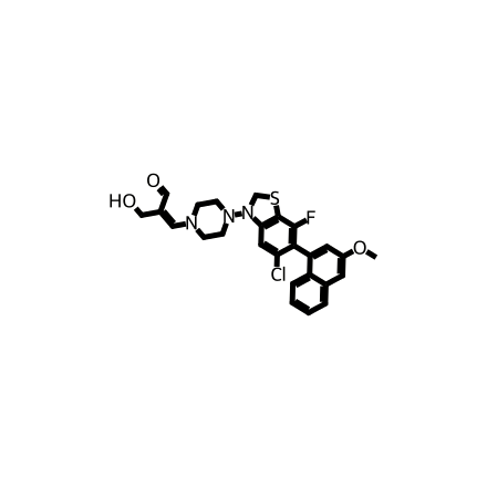 COc1cc(-c2c(Cl)cc3c(c2F)SCN3N2CCN(C=C(C=O)CO)CC2)c2ccccc2c1